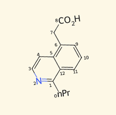 CCCc1nccc2c(CC(=O)O)cccc12